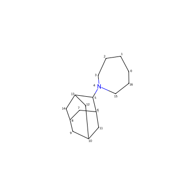 C1CCCN(C2[C]3CC4CC(C3)CC2C4)CC1